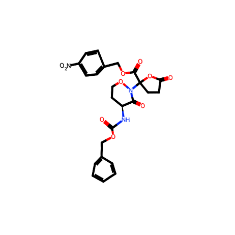 O=C1CCC(C(=O)OCc2ccc([N+](=O)[O-])cc2)(N2OCC[C@H](NC(=O)OCc3ccccc3)C2=O)O1